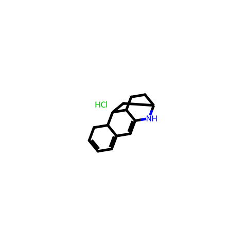 C1=CCC2C(=C1)C=C1NC3CCC1C2C3.Cl